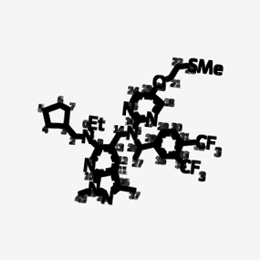 CCN(CC1CCCC1)c1nc2c(cc1CN(c1ncc(OCCSC)cn1)C(C)c1ccc(C(F)(F)F)c(C(F)(F)F)c1)c(C)nn2C